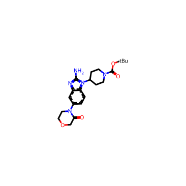 CC(C)(C)OC(=O)N1CCC(n2c(N)nc3cc(N4CCOCC4=O)ccc32)CC1